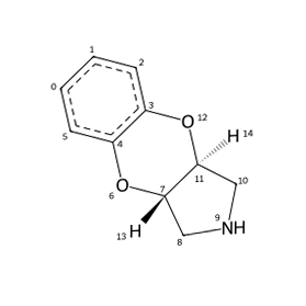 c1ccc2c(c1)O[C@H]1CNC[C@@H]1O2